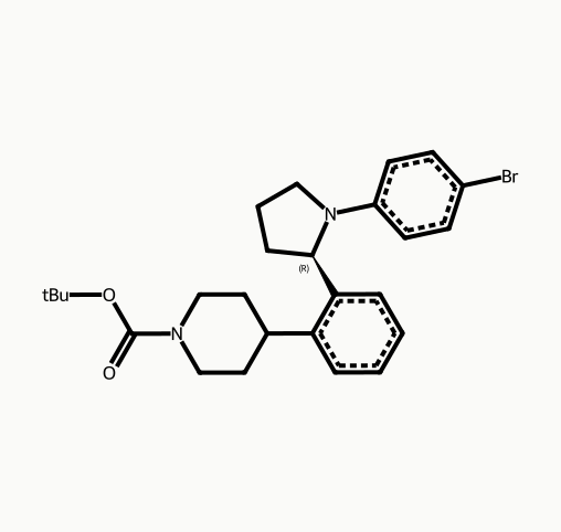 CC(C)(C)OC(=O)N1CCC(c2ccccc2[C@H]2CCCN2c2ccc(Br)cc2)CC1